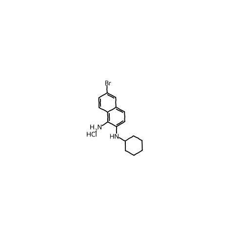 Cl.Nc1c(NC2CCCCC2)ccc2cc(Br)ccc12